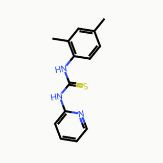 Cc1ccc(NC(=S)Nc2ccccn2)c(C)c1